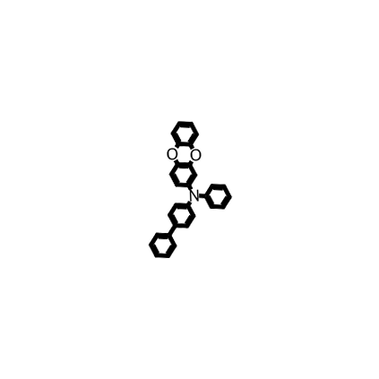 c1ccc(-c2ccc(N(c3ccccc3)c3ccc4c(c3)Oc3ccccc3O4)cc2)cc1